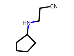 N#CCCNC1CCCC1